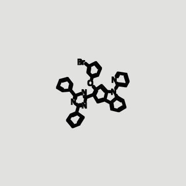 Brc1cccc(Oc2cc3c(cc2-c2nc(-c4ccccc4)nc(-c4ccccc4)n2)c2ccccc2n3-c2ccccn2)c1